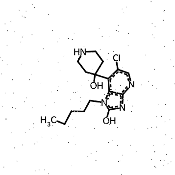 CCCCCn1c(O)nc2ncc(Cl)c(C3(O)CCNCC3)c21